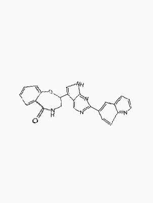 O=C1NCC(c2c[nH]c3nc(-c4ccc5ncccc5c4)ncc23)Oc2ccccc21